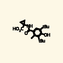 Cc1c(C(=O)NC2(C(=O)O)CC2)cc(C(C)(C)C)c(O)c1C(C)(C)C